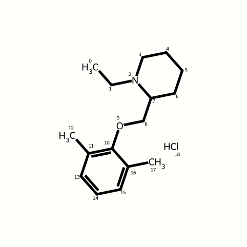 CCN1CCCCC1COc1c(C)cccc1C.Cl